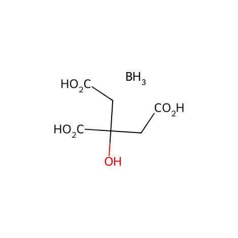 B.O=C(O)CC(O)(CC(=O)O)C(=O)O